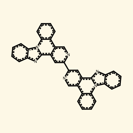 c1ccc2c(c1)nc1c3cc(-c4cc5c(cn4)c4ccccc4n4c6ccccc6nc54)ncc3c3ccccc3n21